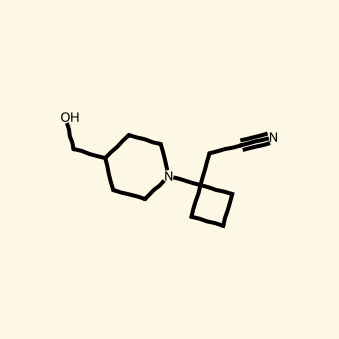 N#CCC1(N2CCC(CO)CC2)CCC1